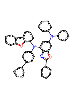 c1ccc(-c2ccc(N(c3cc(N(c4ccccc4)c4ccccc4)cc4oc(-c5ccccc5)nc34)c3cccc4c3oc3ccccc34)cc2)cc1